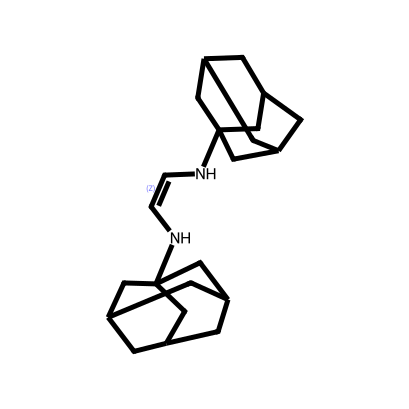 C(=C/NC12CC3CC(CC(C3)C1)C2)/NC12CC3CC(CC(C3)C1)C2